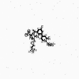 CC(C)c1cc(F)cc(-c2ccnc(F)c2)c1[N-]c1nc(S(=O)[O-])nn1COCC[Si](C)(C)C.[Na+].[Na+]